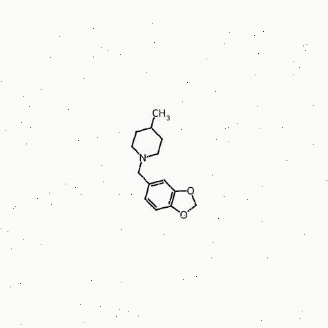 CC1CCN(Cc2ccc3c(c2)OCO3)CC1